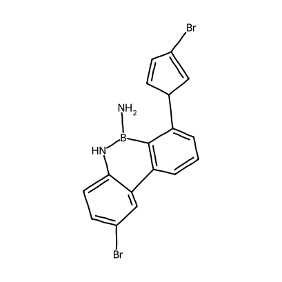 NB1Nc2ccc(Br)cc2-c2cccc(C3C=CC(Br)=C3)c21